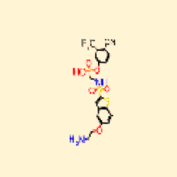 N#Cc1ccc(OP(=O)(O)CNS(=O)(=O)c2cc3cc(OCCN)ccc3s2)cc1C(F)(F)F